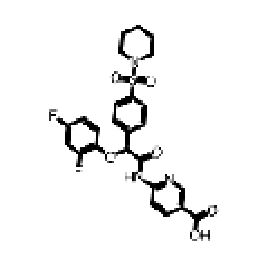 O=C(O)c1ccc(NC(=O)C(Oc2ccc(F)cc2F)c2ccc(S(=O)(=O)N3CCCCC3)cc2)nc1